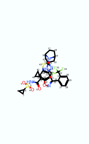 O=C(NS(=O)(=O)C1CC1)c1ccc2nc(N3C4CCC3CC(NCc3c(-c5ccccc5C(F)(F)F)noc3C3CC3)C4)sc2c1